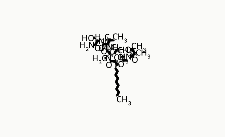 CCCCCCCCCC[C@@H](OC(=O)CNC(=O)[C@@H](C)[C@H](C)O)[C@@H](C)C(=O)N(C)[C@@H](CC(C)C)C(=O)N[C@H](C(=O)N[C@@H](CO)C(N)=O)[C@H](C)CC